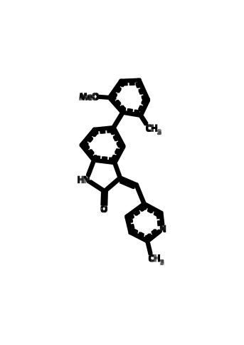 COc1cccc(C)c1-c1ccc2c(c1)/C(=C/c1ccc(C)nc1)C(=O)N2